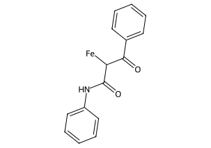 O=C(Nc1ccccc1)[CH]([Fe])C(=O)c1ccccc1